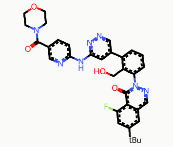 CC(C)(C)c1cc(F)c2c(=O)n(-c3cccc(-c4cnnc(Nc5ccc(C(=O)N6CCOCC6)cn5)c4)c3CO)ncc2c1